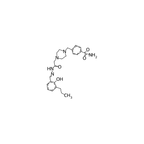 CCCc1cccc(C=NNC(=O)CN2CCN(Cc3ccc(S(N)(=O)=O)cc3)CC2)c1O